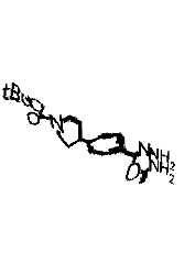 C=C(N)O/C(=N\N)c1ccc(C2CCN(C(=O)OC(C)(C)C)CC2)cc1